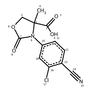 CC1(C(=O)O)COC(=O)N1c1ccc(C#N)c(Cl)c1